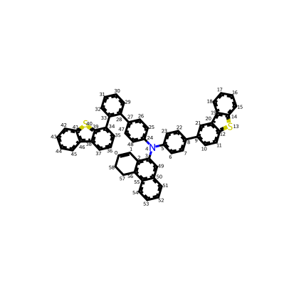 C1=Cc2c(N(c3ccc(-c4ccc5sc6ccccc6c5c4)cc3)c3ccc(-c4ccccc4-c4cccc5c4sc4ccccc45)cc3)cc3ccccc3c2CC1